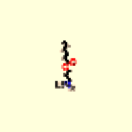 C/C=C/C=C/C(=O)OCCCN(CC)CC